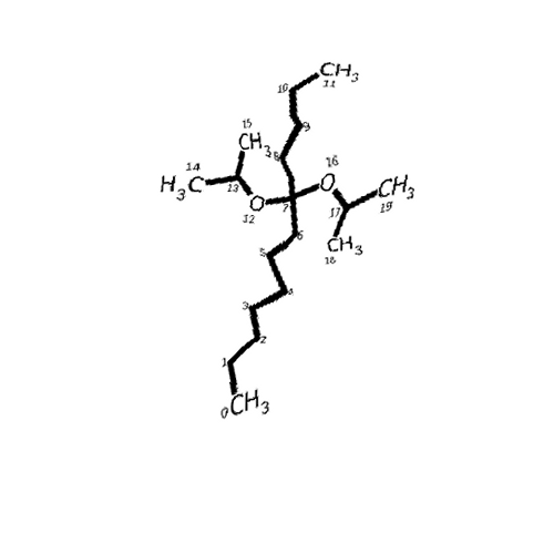 CCCCCCCC(CCCC)(OC(C)C)OC(C)C